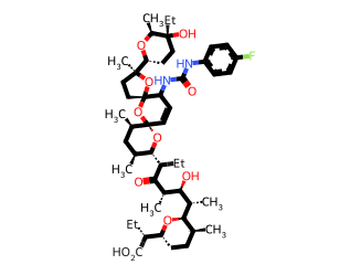 CCC(C(=O)[C@@H](C)[C@@H](O)[C@H](C)[C@@H]1O[C@@H]([C@@H](CC)C(=O)O)CC[C@@H]1C)[C@H]1O[C@]2(C=CC(NC(=O)Nc3ccc(F)cc3)[C@]3(CC[C@@](C)([C@H]4CC[C@](O)(CC)[C@H](C)O4)O3)O2)[C@H](C)C[C@@H]1C